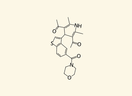 CC(=O)C1=C(C)NC(C)=C(C(C)=O)C1c1csc2ccc(C(=O)N3CCOCC3)cc12